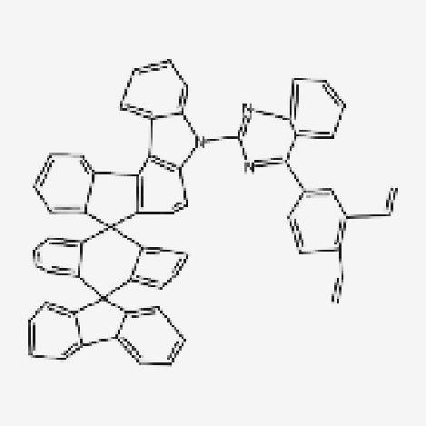 C=Cc1ccc(-c2nc(-n3c4ccccc4c4c5c(ccc43)C3(c4ccccc4-5)c4ccccc4C4(c5ccccc5-c5ccccc54)c4ccccc43)nc3ccccc23)cc1C=C